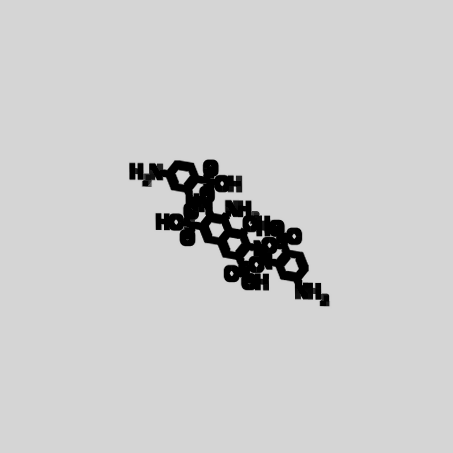 Nc1ccc(S(=O)(=O)O)c(N=Nc2c(S(=O)(=O)O)cc3cc(S(=O)(=O)O)c(N=Nc4cc(N)ccc4S(=O)(=O)O)c(O)c3c2N)c1